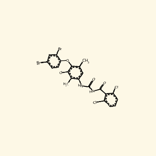 Cc1cc(NC(=O)NC(=O)c2c(Cl)cccc2Cl)c(C)c(Cl)c1Oc1ccc(Br)cc1Br